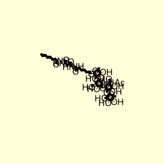 C/C=C/C=C/CCC(=O)NNC(=O)CC(=O)NNC(=O)CCCCCO[C@@H]1OC(C)[C@H](O)[C@H](O[C@H]2O[C@@H](CO)[C@@H](O)C(O[C@H]3OC(CO)[C@H](O)[C@H](O)C3O[C@@H]3OC(C)[C@H](O)[C@H](O)C3O)C2NC(C)=O)C1O